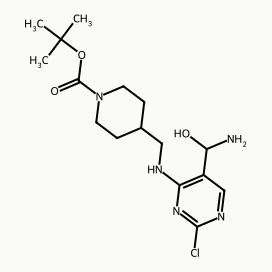 CC(C)(C)OC(=O)N1CCC(CNc2nc(Cl)ncc2C(N)O)CC1